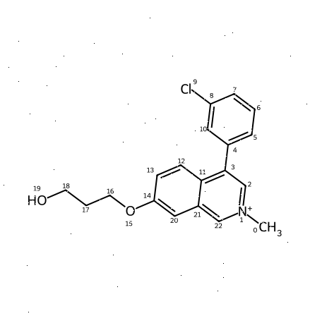 C[n+]1cc(-c2cccc(Cl)c2)c2ccc(OCCCO)cc2c1